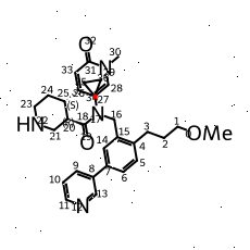 COCCCc1ccc(-c2cccnc2)cc1CN(C(=O)[C@H]1CNCC[C@@H]1c1ccn(C)c(=O)c1)C1CC1